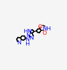 O=C1NCCOc2cc(-c3c[nH]c4nc(Nc5ccc6cccnc6c5)ncc34)ccc21